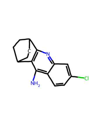 Nc1c2c(nc3cc(Cl)ccc13)C1CCC2CC1